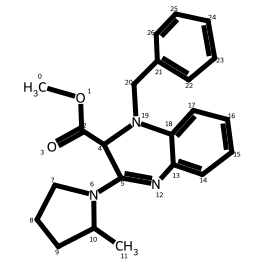 COC(=O)C1C(N2CCCC2C)=Nc2ccccc2N1Cc1ccccc1